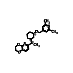 Cc1cc(CO[C@@H]2CCCN([C@H](C)c3ccc4c(n3)OCCO4)C2)cc(C)n1